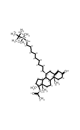 CC(=O)O[C@@]1(C)CCC2C3C(CC[C@@]21C)[C@@]1(C)CCC(=O)C=C1C[C@@H]3CCCCCCCCCO[Si](C)(C)C(C)(C)C